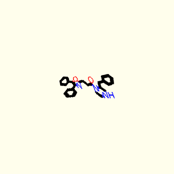 O=C(CCc1nc(-c2ccccc2)c(-c2ccccc2)o1)N1CCNCC1Cc1ccccc1